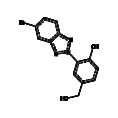 CCc1ccc2nn(-c3cc(CO)ccc3O)nc2c1